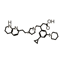 O=C(O)CC(CN1CC[C@@H](CCc2ccc3c(n2)NCCC3)C1)c1cc(C2CC2)cc(N2CCCCC2)c1